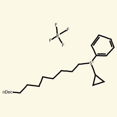 CCCCCCCCCCCCCCCCCC[S+](c1ccccc1)C1CC1.F[B-](F)(F)F